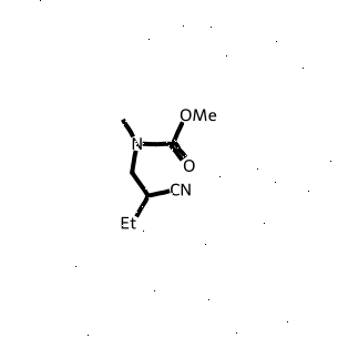 CCC(C#N)CN(C)C(=O)OC